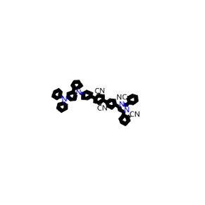 N#Cc1cc(-c2ccc(-n3c4ccccc4c4cc(N(c5ccccc5)c5ccccc5)ccc43)cc2)c(C#N)cc1-c1ccc(-c2cc(-c3ccccc3C#N)nc(-c3ccccc3C#N)n2)cc1